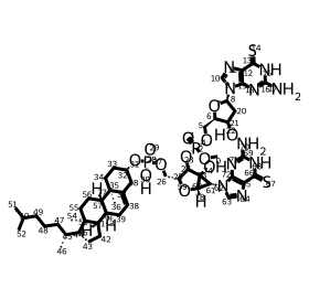 COP(=O)(OC[C@H]1O[C@@H](n2cnc3c(=S)[nH]c(N)nc32)CC1O)OC1[C@@H](COP(=O)(O)O[C@H]2CC[C@@]3(C)C(=CC[C@H]4[C@@H]5CC[C@H]([C@H](C)CCCC(C)C)[C@@]5(C)CC[C@@H]43)C2)O[C@H]2[C@@H](n3cnc4c(=S)[nH]c(N)nc43)C12O